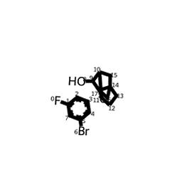 Fc1cccc(Br)c1.OC1C2CC3CC4(C2)CC14C3